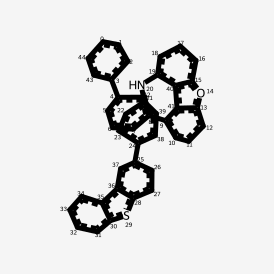 c1ccc(-c2cccc(-c3cccc4oc5cccc(Nc6ccc(-c7ccc8sc9ccccc9c8c7)cc6)c5c34)c2)cc1